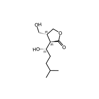 CC(C)CC[C@H](O)[C@@H]1C(=O)OC[C@H]1CO